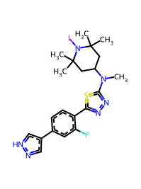 CN(c1nnc(-c2ccc(-c3cn[nH]c3)cc2F)s1)C1CC(C)(C)N(I)C(C)(C)C1